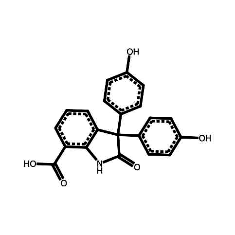 O=C(O)c1cccc2c1NC(=O)C2(c1ccc(O)cc1)c1ccc(O)cc1